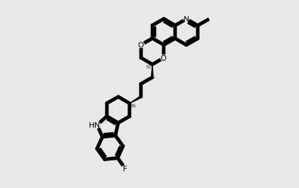 Cc1ccc2c3c(ccc2n1)OC[C@H]([CH]CC[C@@H]1CCc2[nH]c4ccc(F)cc4c2C1)O3